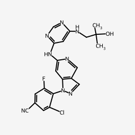 CC(C)(O)CNc1cc(Nc2cc3c(cn2)cnn3-c2c(F)cc(C#N)cc2Cl)ncn1